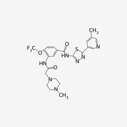 Cc1cncc(-c2nnc(NC(=O)c3ccc(OC(F)(F)F)c(NC(=O)CN4CCN(C)CC4)c3)s2)c1